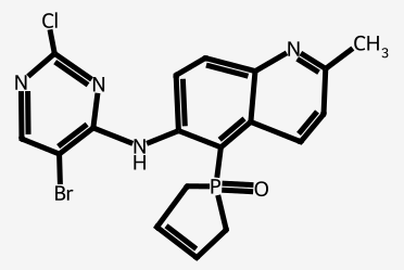 Cc1ccc2c(P3(=O)CC=CC3)c(Nc3nc(Cl)ncc3Br)ccc2n1